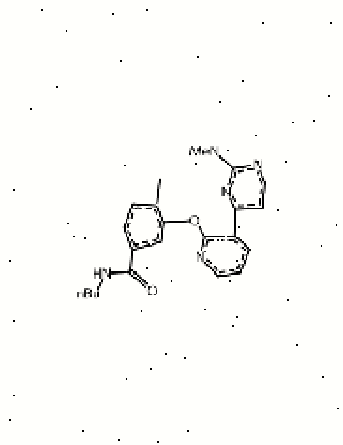 CCCCNC(=O)c1ccc(C)c(Oc2ncccc2-c2ccnc(NC)n2)c1